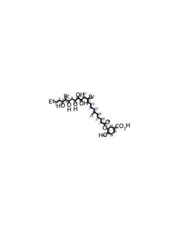 CC/C=C/[C@@H](O)[C@@H](Br)[C@H](O)CC(O)[C@@H](O)[C@H](O)[C@H](C)/C(Br)=C/C=C/C=C(C)/C=C/C=C/C(=O)O[C@@H]1C[C@@H](C(=O)O)CC[C@@H]1O